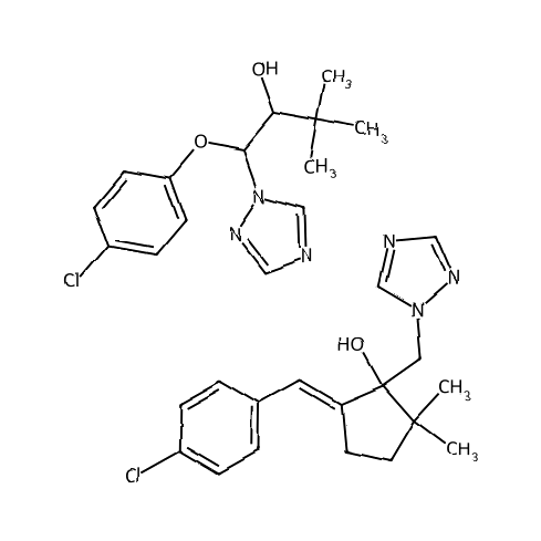 CC(C)(C)C(O)C(Oc1ccc(Cl)cc1)n1cncn1.CC1(C)CC/C(=C\c2ccc(Cl)cc2)C1(O)Cn1cncn1